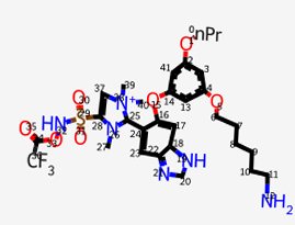 CCCOc1cc(OCCCCCCN)cc(OC2=CC3NCN=C3C=C2C2N(C)C(S(=O)(=O)NOC(=O)C(F)(F)F)=C[N+]2(C)C)c1